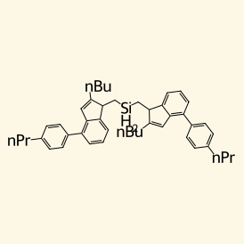 CCCCC1=Cc2c(-c3ccc(CCC)cc3)cccc2C1C[SiH2]CC1C(CCCC)=Cc2c(-c3ccc(CCC)cc3)cccc21